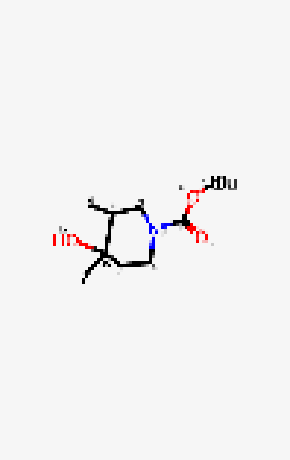 CC1CN(C(=O)OC(C)(C)C)CCC1(C)O